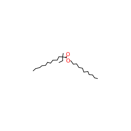 CCCCCCCCCCCOC(=O)C(C)(CC)CCCCCCCCCC